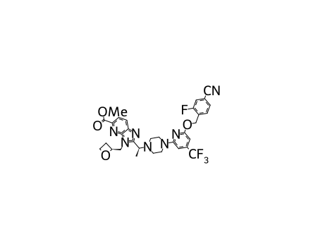 COC(=O)c1ccc2nc([C@H](C)N3CCN(c4cc(C(F)(F)F)cc(OCc5ccc(C#N)cc5F)n4)CC3)n(C[C@@H]3CCO3)c2n1